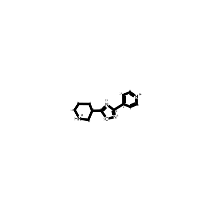 c1cc(-c2noc(C3CCCNC3)n2)ccn1